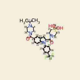 CC(C)N1CCN(C(=O)c2ccc3c(c2)cc(C(=O)N2CCS(O)(O)CC2)n3-c2ccc(C(F)(F)F)cc2)CC1